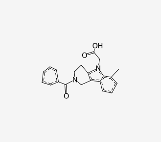 Cc1cccc2c3c(n(CC(=O)O)c12)CCN(C(=O)c1ccccc1)C3